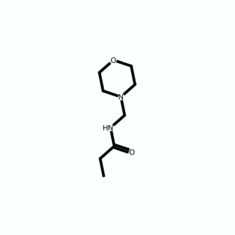 CCC(=O)NCN1CCOCC1